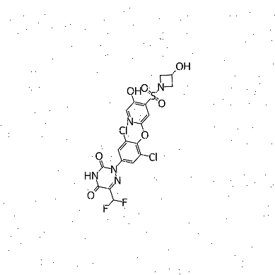 O=c1[nH]c(=O)n(-c2cc(Cl)c(Oc3cc(S(=O)(=O)N4CC(O)C4)c(O)cn3)c(Cl)c2)nc1C(F)F